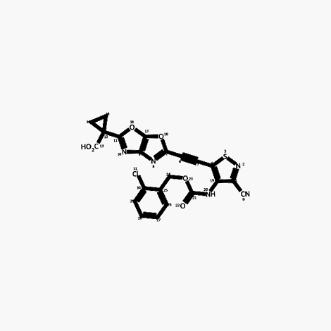 N#Cc1nsc(C#Cc2nc3nc(C4(C(=O)O)CC4)oc3o2)c1NC(=O)OCc1ccccc1Cl